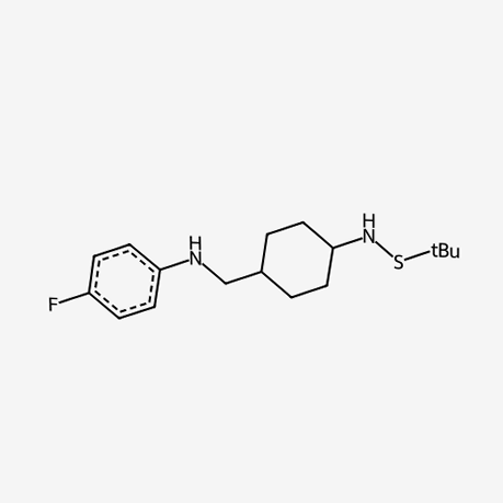 CC(C)(C)SNC1CCC(CNc2ccc(F)cc2)CC1